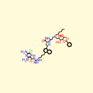 CCCCCCN(CCCN[C@@H](CCc1ccc(CCCCNC(=N)NC(=O)c2nc(Cl)c(N)nc2N)c2ccccc12)C(N)=O)C[C@H](O)[C@@H](O)[C@@H]1OC(c2ccccc2)OC[C@H]1O